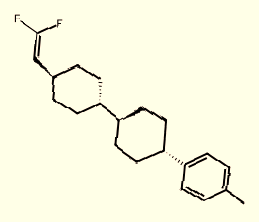 Cc1ccc([C@H]2CC[C@H]([C@H]3CC[C@H](C=C(F)F)CC3)CC2)cc1